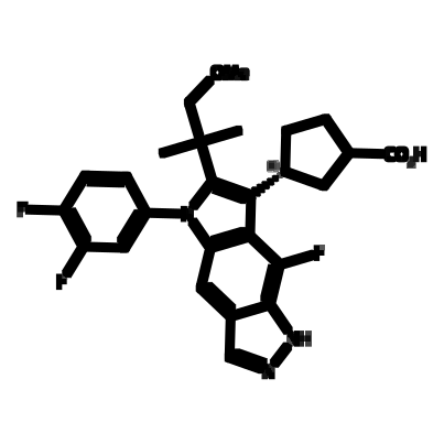 COCC(C)(C)c1c([C@@H]2CCC(C(=O)O)C2)c2c(F)c3[nH]ncc3cc2n1-c1ccc(F)c(F)c1